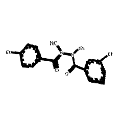 CCc1ccc(C(=O)N(C#N)N(C(=O)c2cccc(CC)c2)C(C)(C)C)cc1